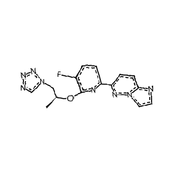 C[C@@H](Cn1cnnn1)Oc1nc(-c2ccc3nccn3n2)ccc1F